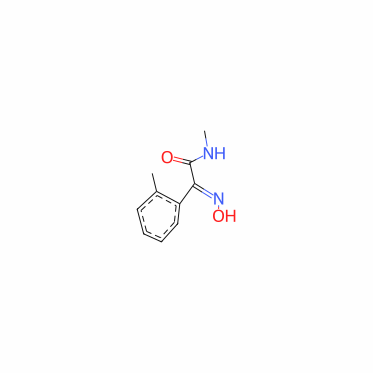 CNC(=O)/C(=N/O)c1ccccc1C